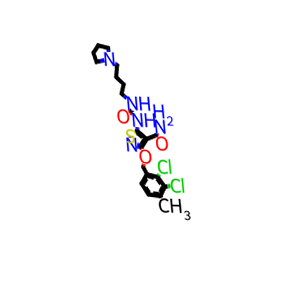 Cc1ccc(COc2nsc(NC(=O)NCCCCN3CCCC3)c2C(N)=O)c(Cl)c1Cl